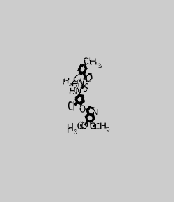 COc1cc2nccc(Oc3ccc(NC(=S)NC(=O)c4cc(C)ccc4C)cc3Cl)c2cc1OC